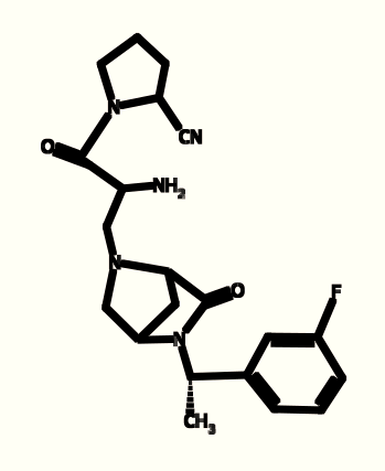 C[C@@H](c1cccc(F)c1)N1C(=O)C2CC1CN2CC(N)C(=O)N1CCCC1C#N